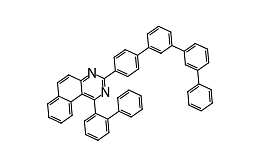 c1ccc(-c2cccc(-c3cccc(-c4ccc(-c5nc(-c6ccccc6-c6ccccc6)c6c(ccc7ccccc76)n5)cc4)c3)c2)cc1